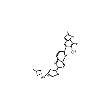 Cn1cc2cc(-c3ccc4nc(N5CC[C@@H](N[C@H]6C[C@H](F)C6)C5)ccc4n3)c(O)c(F)c2n1